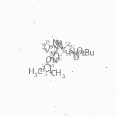 Cc1cc(C)cc(Oc2nccc(-c3c(C4CCCC4)nnn3C3CCN(C(=O)OC(C)(C)C)CC3)n2)c1